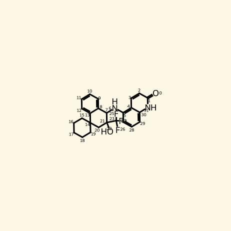 O=c1ccc2c(NC3c4ccccc4C4(CCCCC4)CC3(O)C(F)(F)F)cccc2[nH]1